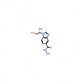 CNC(=O)c1ccc2c(c1)ncn2[C@@H](C)CO